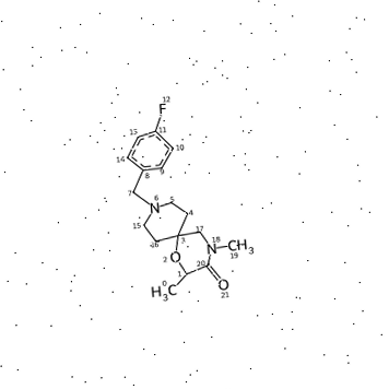 CC1OC2(CCN(Cc3ccc(F)cc3)CC2)CN(C)C1=O